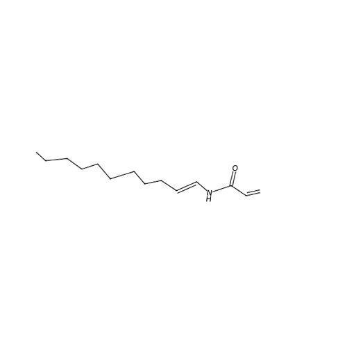 C=CC(=O)NC=CCCCCCCCCC